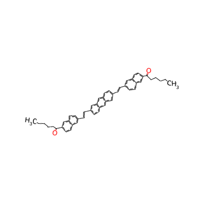 CCCCCC(=O)c1ccc2cc(/C=C/c3ccc4cc5cc(/C=C/c6ccc7cc(C(=O)CCCCC)ccc7c6)ccc5cc4c3)ccc2c1